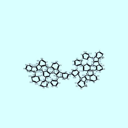 c1ccc(-n2c3cccnc3c3c4cccc5c4n(c32)-c2cc(-c3ccccn3)cc3c2B5c2cccc4c5c6ncccc6n(-c6cccc(-c7cnc8c(c7)c7c9cccc%10c9n(c7n8-c7ccccc7)-c7cc(-c8ccccn8)cc8c7B%10c7cccc9c%10c%11cccnc%11n(-c%11ccccc%11)c%10n-8c79)c6)c5n-3c24)cc1